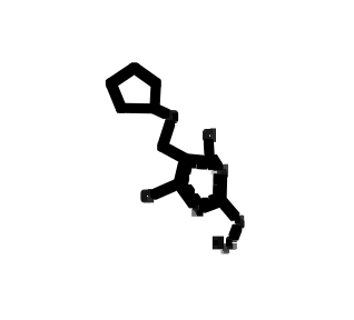 CSc1nc(Cl)c(COC2CCCC2)c(Cl)n1